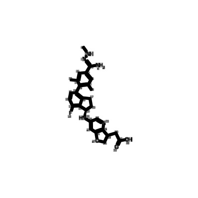 CN/N=C(\N)c1cc(C)c(-c2ccc(F)c3c2CC[C@H]3Nc2cnc3c(c2)OCC3CC(=O)O)c(C)c1